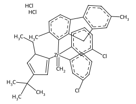 Cl.Cl.[CH2]=[Zr]([C]1=CC(C(C)(C)C)=CC1CC)([c]1cccc(Cl)c1)([c]1cccc(Cl)c1)[c]1c(C)ccc2c1Cc1cc(C)ccc1-2